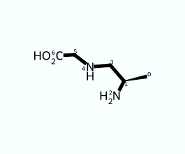 C[C@@H](N)CNCC(=O)O